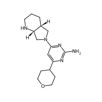 Nc1nc(C2CCOCC2)cc(N2C[C@H]3CCCN[C@H]3C2)n1